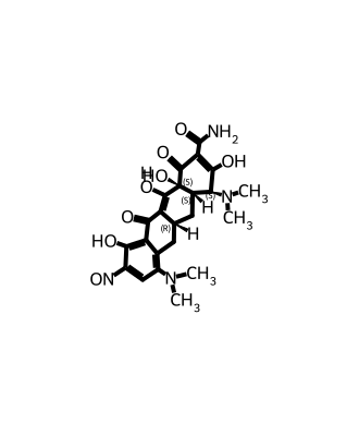 CN(C)c1cc(N=O)c(O)c2c1C[C@H]1C[C@H]3[C@H](N(C)C)C(O)=C(C(N)=O)C(=O)[C@@]3(O)C(O)=C1C2=O